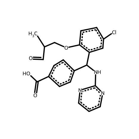 CC(C=O)COc1ccc(Cl)cc1C(Nc1ncccn1)c1ccc(C(=O)O)cc1